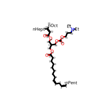 CCCCC/C=C\C/C=C\CCCCCCCC(=O)OCC(COC(=O)/C=C(\CCCCCCC)CCCCCCCC)COC(=O)OCCCN(CC)CC